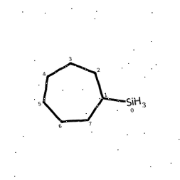 [SiH3][C]1CCCCCC1